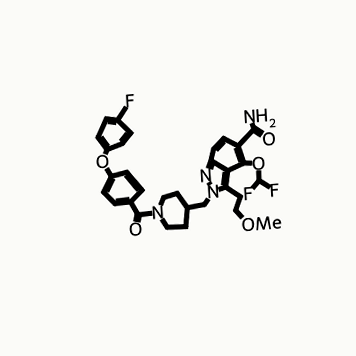 COCCc1c2c(OC(F)F)c(C(N)=O)ccc2nn1CC1CCN(C(=O)c2ccc(Oc3ccc(F)cc3)cc2)CC1